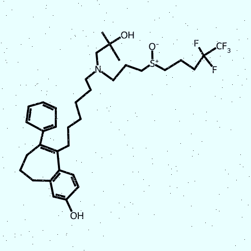 CC(C)(O)CN(CCCCCCC1=C(c2ccccc2)CCCc2cc(O)ccc21)CCC[S+]([O-])CCCC(F)(F)C(F)(F)F